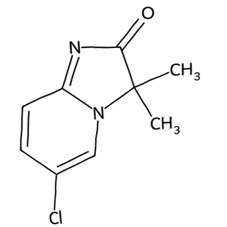 CC1(C)C(=O)N=C2C=CC(Cl)=CN21